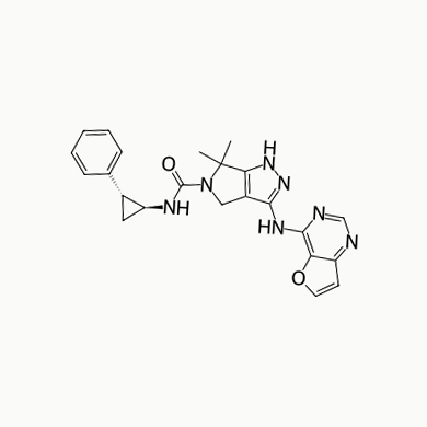 CC1(C)c2[nH]nc(Nc3ncnc4ccoc34)c2CN1C(=O)N[C@H]1C[C@@H]1c1ccccc1